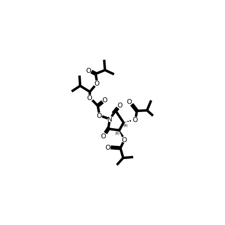 CC(C)C(=O)OC(OC(=O)ON1C(=O)[C@H](OC(=O)C(C)C)[C@@H](OC(=O)C(C)C)C1=O)C(C)C